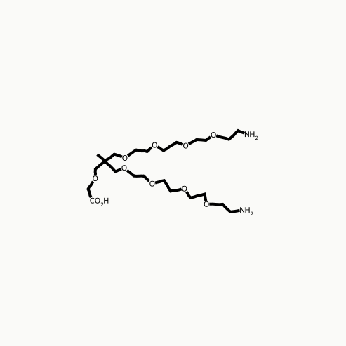 CC(COCCOCCOCCOCCN)(COCCOCCOCCOCCN)COCC(=O)O